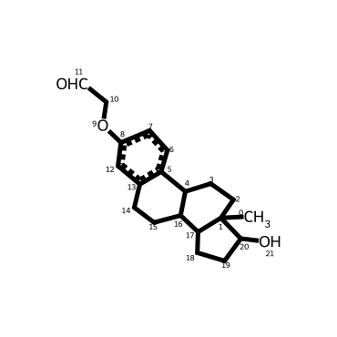 CC12CCC3c4ccc(OCC=O)cc4CCC3C1CCC2O